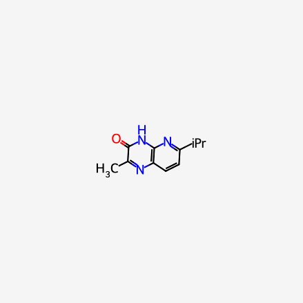 Cc1nc2ccc(C(C)C)nc2[nH]c1=O